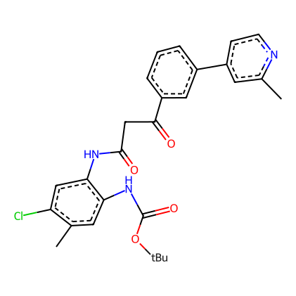 Cc1cc(-c2cccc(C(=O)CC(=O)Nc3cc(Cl)c(C)cc3NC(=O)OC(C)(C)C)c2)ccn1